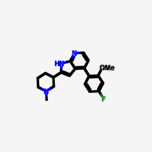 COc1cc(F)ccc1-c1ccnc2[nH]c(C3CCCN(C)C3)cc12